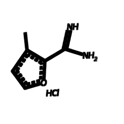 Cc1ccoc1C(=N)N.Cl